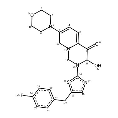 O=C1C2=CC=C(N3CCOCC3)CN2CN(c2ncc(Cc3ccc(F)cc3)s2)C1O